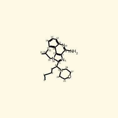 CCCCC(c1nc2c(N)nc3ccccc3c2n1CC(C)C)N1CCOCC1